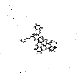 CCCCC(=O)NC(Cc1ccccc1)C(=O)NC(Cc1ccccc1)C(=O)NC(Cc1c[nH]cn1)C(=O)OC